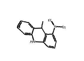 CCN(CC)c1cccc2c1C(C)c1ccccc1N2